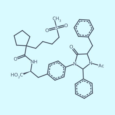 CC(=O)N1C(Cc2ccccc2)C(=O)N(c2ccc(C[C@H](NC(=O)C3(CCCCS(C)(=O)=O)CCCC3)C(=O)O)cc2)C1c1ccccc1